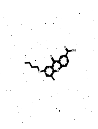 CCCCOc1cc(C)c2oc3ccc(C(=O)O)cc3c(=O)c2c1